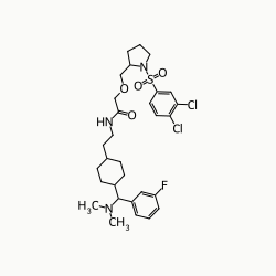 CN(C)C(c1cccc(F)c1)C1CCC(CCNC(=O)COCC2CCCN2S(=O)(=O)c2ccc(Cl)c(Cl)c2)CC1